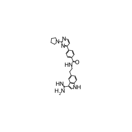 N=C(N)c1c[nH]c2ccc(CCNC(=O)c3ccc(-c4ccnc(N5CCCC5)n4)cc3)cc12